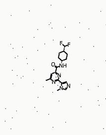 Cc1cc(C(=O)N[C@H]2CC[C@H](C(F)F)CC2)nc(-c2cncn2C)n1